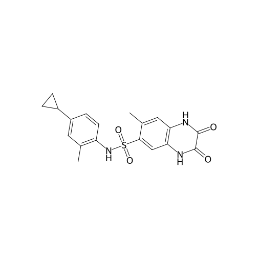 Cc1cc(C2CC2)ccc1NS(=O)(=O)c1cc2[nH]c(=O)c(=O)[nH]c2cc1C